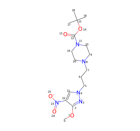 COc1nn(CCCN2CCN(C(=O)OC(C)(C)C)CC2)cc1[N+](=O)[O-]